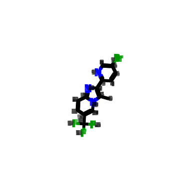 Cc1c(-c2ccc(Br)cn2)nc2ccc(C(F)(F)F)cn12